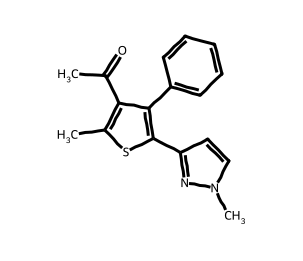 CC(=O)c1c(C)sc(-c2ccn(C)n2)c1-c1ccccc1